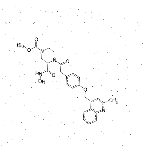 Cc1cc(COc2ccc(CC(=O)N3CCN(C(=O)OC(C)(C)C)CC3C(=O)NO)cc2)c2ccccc2n1